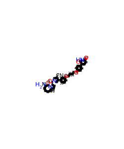 N#C[C@@H]1CN(C(=O)[C@@H]2CC[C@@H]3CCCC[C@H](N)C(=O)N32)C[C@H]1c1cccc(OCCCCOc2ccc(C3CCC(=O)NC3=O)cc2)c1